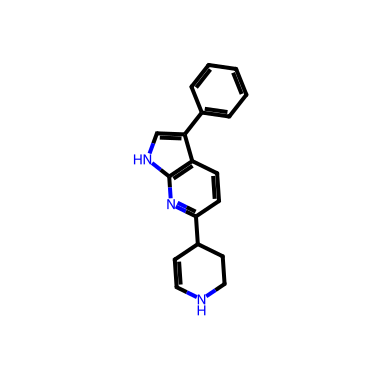 C1=CC(c2ccc3c(-c4ccccc4)c[nH]c3n2)CCN1